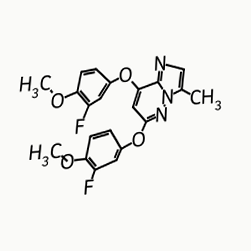 COc1ccc(Oc2cc(Oc3ccc(OC)c(F)c3)c3ncc(C)n3n2)cc1F